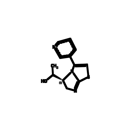 CC(O)[C@H]1CN=C2SC=C(c3cccnc3)N21